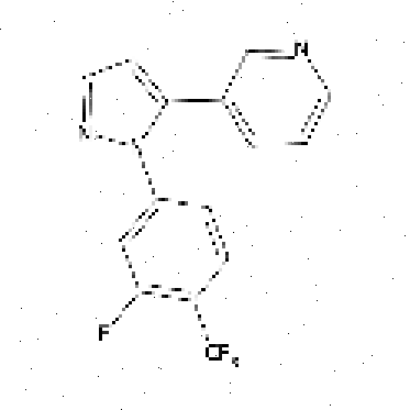 Fc1cc(-n2nccc2-c2cccnc2)ccc1C(F)(F)F